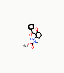 CN(NC1=C(C(=O)c2ccccc2)C(=O)CCC1)C(=O)OC(C)(C)C